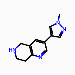 Cn1cc(-c2cnc3c(c2)CNCC3)cn1